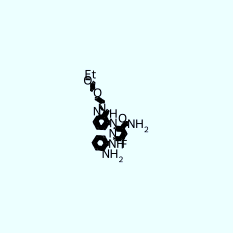 CCOCCOCCn1cc2c(Nc3nc(NC4CCCC[C@@H]4N)c(F)cc3C(N)=O)cccc2n1